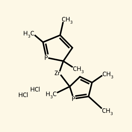 CC1=C[C](C)([Zr][C]2(C)C=C(C)C(C)=P2)P=C1C.Cl.Cl